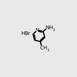 Br.Cc1ccnc(N)c1